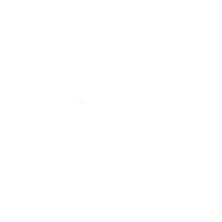 NC(=O)OCCCF